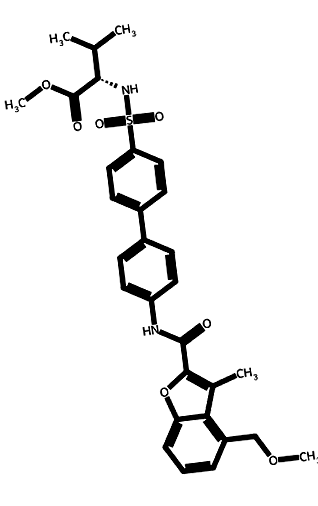 COCc1cccc2oc(C(=O)Nc3ccc(-c4ccc(S(=O)(=O)N[C@H](C(=O)OC)C(C)C)cc4)cc3)c(C)c12